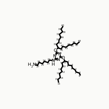 CCCCCCCCC(CCCCCCCC)Oc1nc(NCCCCCCN)nc(OC(CCCCCCCC)CCCCCCCC)n1